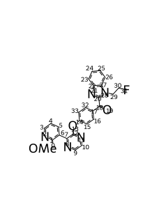 COc1ncccc1-c1nccnc1Oc1ccc(C(=O)c2nc3ccccc3n2CCF)cc1